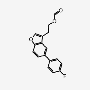 O=COCCc1coc2ccc(-c3ccc(F)cc3)cc12